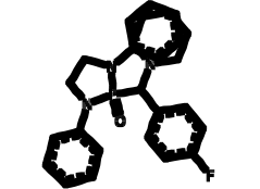 O=P1(C(c2ccc(F)cc2)N2CCCCC2)N(c2ccccc2)CCN1c1ccccc1